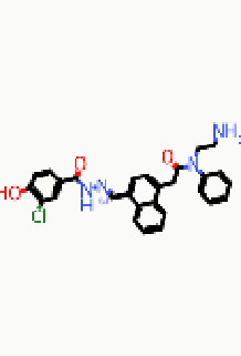 NCCN(C(=O)Cc1ccc(/C=N/NC(=O)c2ccc(O)c(Cl)c2)c2ccccc12)c1ccccc1